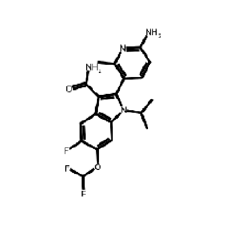 Cc1nc(N)ccc1-c1c(C(N)=O)c2cc(F)c(OC(F)F)cc2n1C(C)C